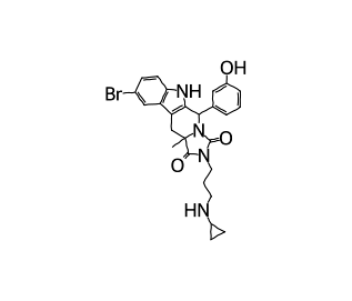 CC12Cc3c([nH]c4ccc(Br)cc34)C(c3cccc(O)c3)N1C(=O)N(CCCNC1CC1)C2=O